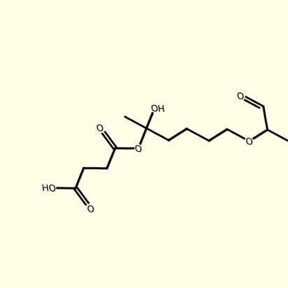 CC(C=O)OCCCCC(C)(O)OC(=O)CCC(=O)O